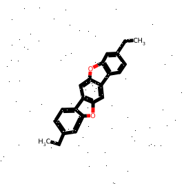 CCc1ccc2c(c1)oc1cc3c(cc12)oc1cc(CC)ccc13